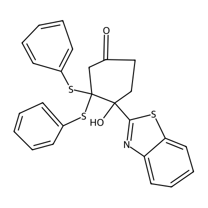 O=C1CCC(O)(c2nc3ccccc3s2)C(Sc2ccccc2)(Sc2ccccc2)C1